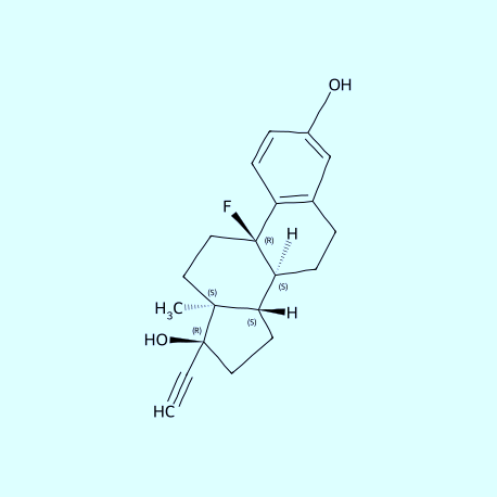 C#C[C@@]1(O)CC[C@H]2[C@@H]3CCc4cc(O)ccc4[C@@]3(F)CC[C@@]21C